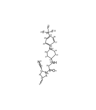 N#C[C@@H]1C[C@H](F)CN1C(=O)CNC1CCN(c2ccc(C(F)(F)F)cc2)CC1